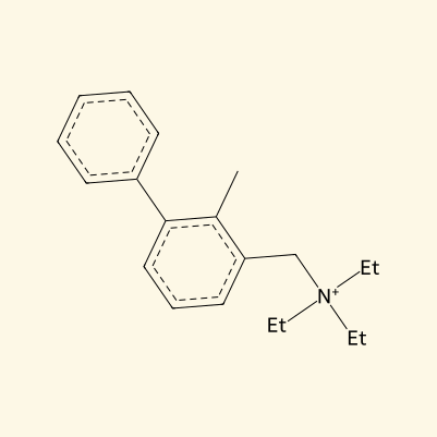 CC[N+](CC)(CC)Cc1cccc(-c2ccccc2)c1C